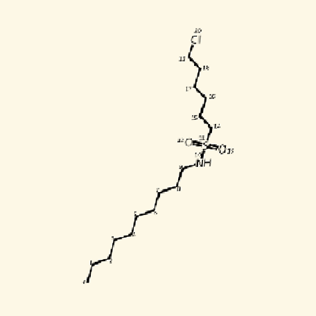 CCCCCCCCCCNS(=O)(=O)CCCCCCCl